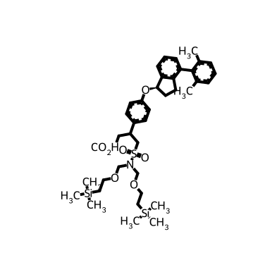 Cc1cccc(C)c1-c1cccc2c1CC[C@H]2Oc1ccc(C(CC(=O)O)CS(=O)(=O)N(COCC[Si](C)(C)C)COCC[Si](C)(C)C)cc1